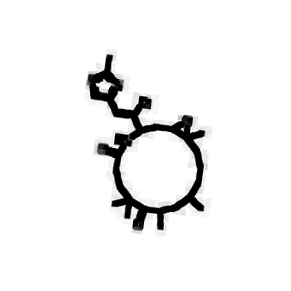 CCC(=Cc1csc(C)n1)C1CC2OC2(C)CCCC(C)CC(C)C(=O)C(C)(C)CCC(=O)N1